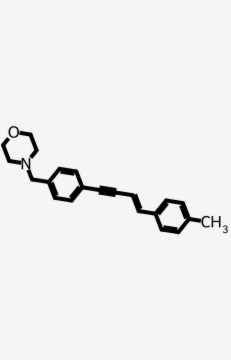 Cc1ccc(C=CC#Cc2ccc(CN3CCOCC3)cc2)cc1